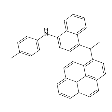 Cc1ccc(Nc2ccc(C(C)c3ccc4c5c3C=CC3=CC=CC(C=C4)C35)c3ccccc23)cc1